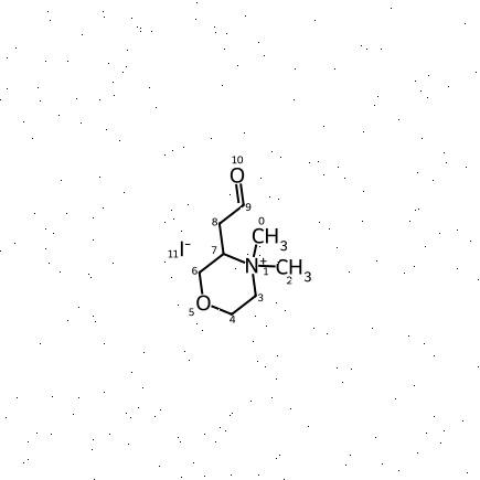 C[N+]1(C)CCOCC1CC=O.[I-]